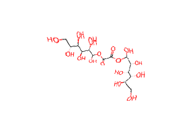 O=C(OC(O)[C@H](O)[C@@H](O)[C@H](O)[C@H](O)CO)C(=O)OC(O)[C@H](O)[C@@H](O)[C@H](O)[C@H](O)CO